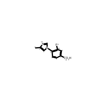 Cc1cn(-c2ccc(C(=O)O)cc2F)cn1